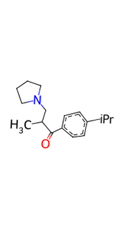 CC(CN1CCCC1)C(=O)c1ccc(C(C)C)cc1